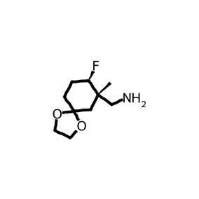 C[C@@]1(CN)CC2(CC[C@H]1F)OCCO2